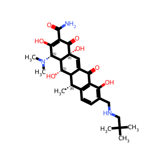 C[C@H]1c2ccc(CNCC(C)(C)C)c(O)c2C(=O)C2=C[C@]3(O)C(=O)C(C(N)=O)=C(O)[C@@H](N(C)C)C3[C@@H](O)C21